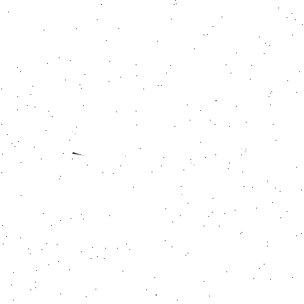 COc1c(N2CC[C@@H](C3(N)CC3)C2)ccc2c(=O)c3c(=O)[nH]sc3n(C3CC3)c12